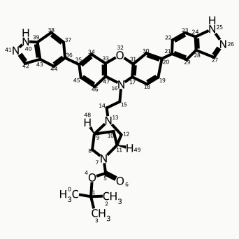 CC(C)(C)OC(=O)N1C[C@H]2C[C@@H]1CN2CCN1c2ccc(-c3ccc4[nH]ncc4c3)cc2Oc2cc(-c3ccc4[nH]ncc4c3)ccc21